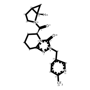 O=C([C@@H]1CCCc2nn(Cc3ccc(C(F)(F)F)nc3)c(=O)n21)N1CCC2C[C@@H]21